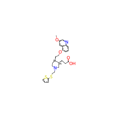 COc1cnc2cccc(OCC[C@@H]3CCN(CCSc4cccs4)C[C@@H]3CCC(=O)O)c2c1